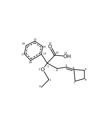 CCOC(CC=C1CCC1)(C(=O)O)c1ccccc1